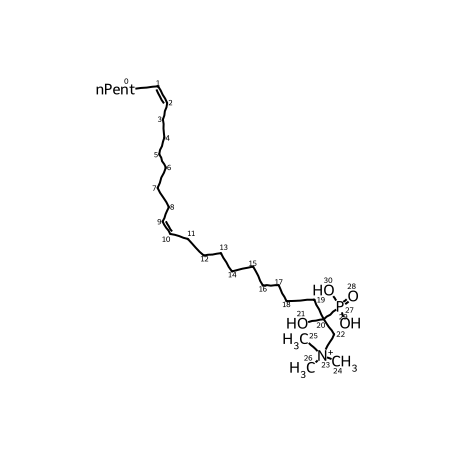 CCCCC/C=C\CCCCCC/C=C\CCCCCCCCCC(O)(C[N+](C)(C)C)P(=O)(O)O